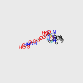 CC(C)(C)[C@H](c1cc(-c2cc(F)ccc2F)cn1Cc1ccccc1)N(CCCN)C(=O)CSC[C@H](NC(=O)CCOCCOCCOCCOCCNC(=O)CNC(=O)CCC(=O)O)C(=O)O